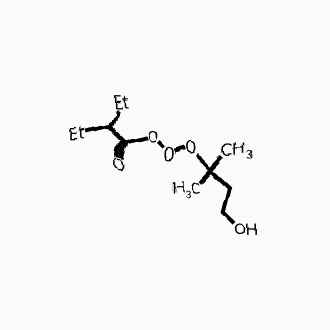 CCC(CC)C(=O)OOOC(C)(C)CCO